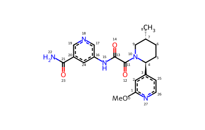 COc1cc([C@@H]2CC[C@@H](C)CN2C(=O)C(=O)Nc2cncc(C(N)=O)c2)ccn1